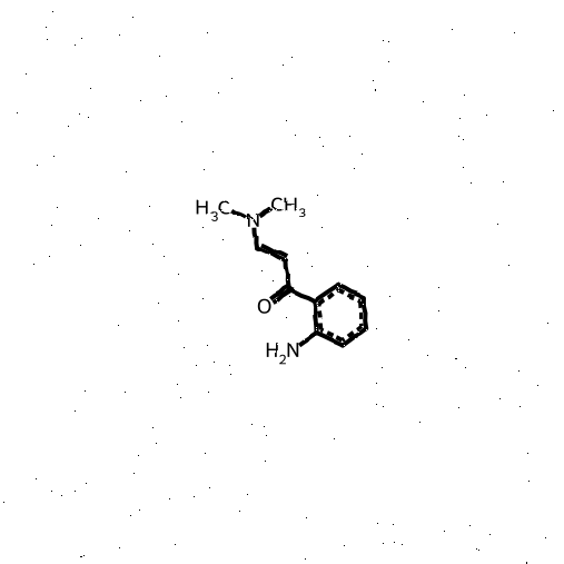 CN(C)/C=C/C(=O)c1ccccc1N